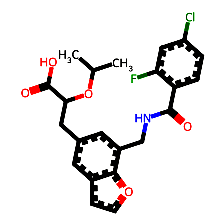 CC(C)OC(Cc1cc(CNC(=O)c2ccc(Cl)cc2F)c2occc2c1)C(=O)O